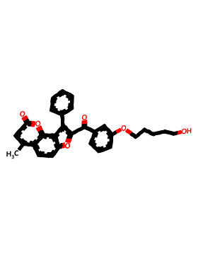 Cc1cc(=O)oc2c1ccc1oc(C(=O)c3cccc(OCCCCCO)c3)c(-c3ccccc3)c12